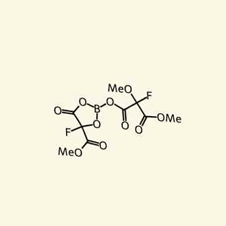 COC(=O)C(F)(OC)C(=O)OB1OC(=O)C(F)(C(=O)OC)O1